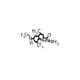 Cc1cc(C(=O)NN)nc2c(C(F)(F)F)cc(NCC(F)(F)F)cc12